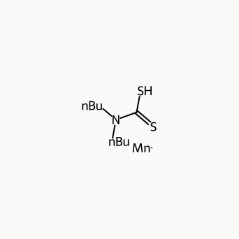 CCCCN(CCCC)C(=S)S.[Mn]